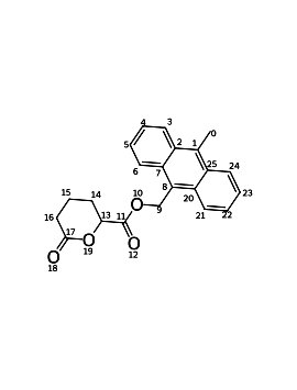 Cc1c2ccccc2c(COC(=O)C2CCCC(=O)O2)c2ccccc12